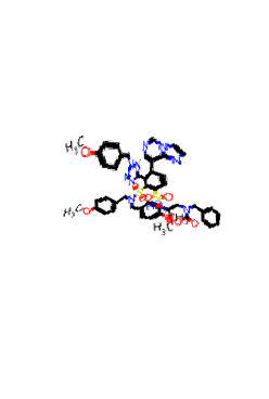 COc1ccc(CN(Cc2ccc(OC)cc2)S(=O)(=O)c2c(S(=O)(=O)N[C@H](C)CN(Cc3ccccc3)C(=O)O)ccc(-c3cncn4ccnc34)c2-c2nnn(Cc3ccc(OC)cc3)n2)cc1